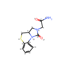 NC(=O)CN1CC2CSc3ccccc3N2C1=O